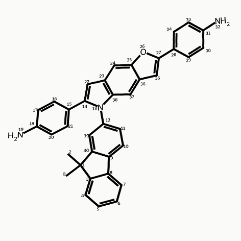 CC1(C)c2ccccc2-c2ccc(-n3c(-c4ccc(N)cc4)cc4cc5oc(-c6ccc(N)cc6)cc5cc43)cc21